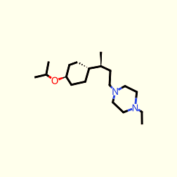 CCN1CCN(CC[C@H](C)[C@H]2CC[C@H](OC(C)C)CC2)CC1